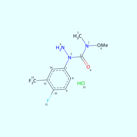 CON(C)C(=O)N(N)c1ccc(F)c(C(F)(F)F)c1.Cl